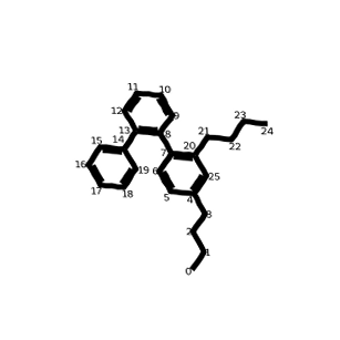 CCCCc1ccc(-c2[c]cccc2-c2ccccc2)c(CCCC)c1